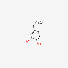 O=CCc1ccc(O)c(O)c1